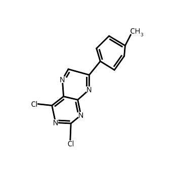 Cc1ccc(-c2cnc3c(Cl)nc(Cl)nc3n2)cc1